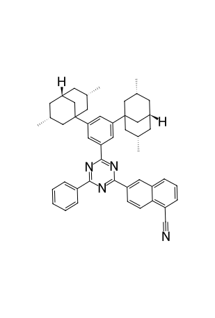 C[C@@H]1C[C@@H]2C[C@H](C)CC(c3cc(-c4nc(-c5ccccc5)nc(-c5ccc6c(C#N)cccc6c5)n4)cc(C45C[C@H](C)C[C@H](C[C@H](C)C4)C5)c3)(C1)C2